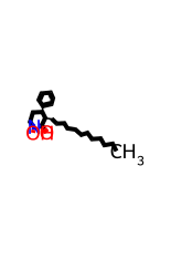 CCCCCCCCCCCC[C@H]1C(=O)N(O)CC[C@H]1c1ccccc1